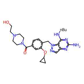 CCCCNc1nc(N)nc2cnn(Cc3ccc(C(=O)N4CCN(CCO)CC4)cc3OC3CC3)c12